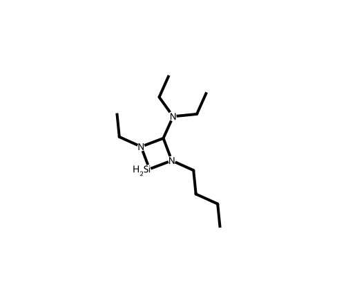 CCCCN1[SiH2]N(CC)C1N(CC)CC